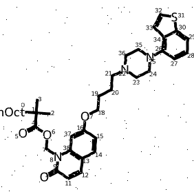 CCCCCCCCC(C)(C)C(=O)OCn1c(=O)ccc2ccc(OCCCCN3CCN(c4cccc5sccc45)CC3)cc21